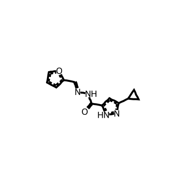 O=C(N/N=C/c1ccco1)c1cc(C2CC2)n[nH]1